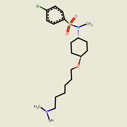 CCCN(C)CCCCCCO[C@H]1CC[C@H](N(C)S(=O)(=O)c2ccc(Br)cc2)CC1